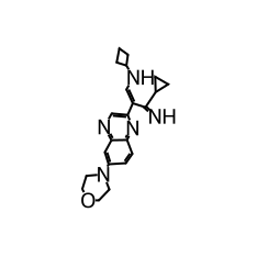 N=C(/C(=C\NC1CCC1)c1cnc2cc(N3CCOCC3)ccc2n1)C1CC1